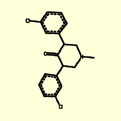 CN1CC(c2cccc(Cl)c2)C(=O)C(c2cccc(Cl)c2)C1